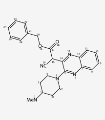 CNC1CCN(c2nc3ccccc3nc2C(C#N)C(=O)OCc2ccccc2)CC1